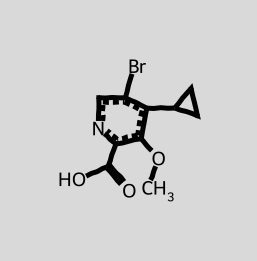 COc1c(C(=O)O)ncc(Br)c1C1CC1